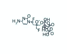 CO[C@](CF)(COP(=O)(O)OP(=O)(O)OP(=O)(O)O)C[C@H](F)n1ccc(N)nc1=O